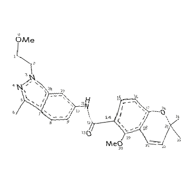 COCCn1nc(C)c2ccc(NC(=O)c3ccc4c(c3OC)C=CC(C)(C)O4)cc21